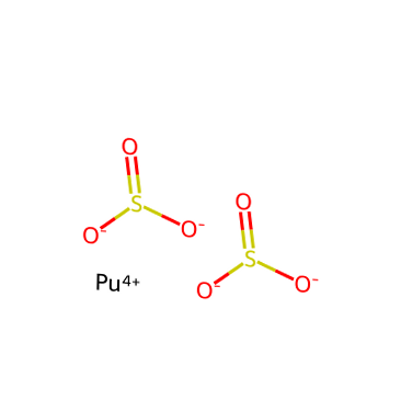 O=S([O-])[O-].O=S([O-])[O-].[Pu+4]